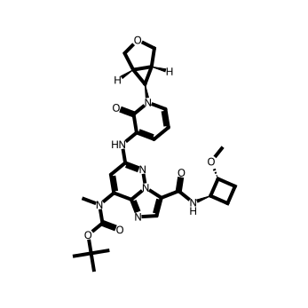 CO[C@@H]1CC[C@H]1NC(=O)c1cnc2c(N(C)C(=O)OC(C)(C)C)cc(Nc3cccn([C@H]4[C@@H]5COC[C@@H]54)c3=O)nn12